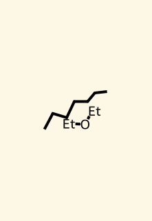 CCCCCCC.CCOCC